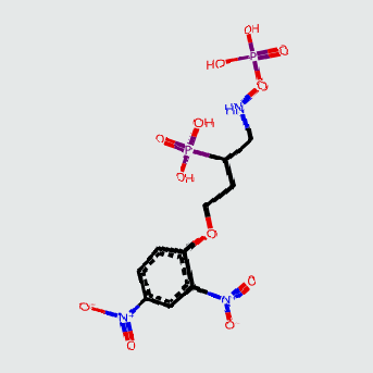 O=[N+]([O-])c1ccc(OCCC(CNOP(=O)(O)O)P(=O)(O)O)c([N+](=O)[O-])c1